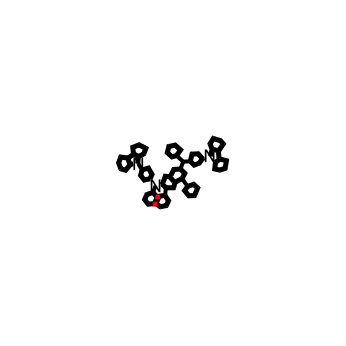 c1ccc(-c2cc3c(-c4ccccc4)cc(C(c4ccccc4)c4ccc(-n5c6ccccc6c6ccccc65)cc4)cc3cc2N(c2ccccc2)c2ccc(-n3c4ccccc4c4ccccc43)cc2)cc1